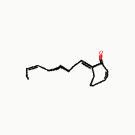 C/C=C\CCC/C=C1\CC=CC1=O